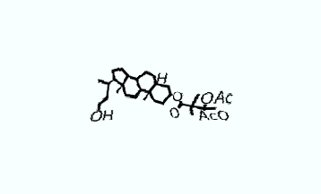 CC(=O)OC(C)(OC(C)=O)C(C)(C)C(=O)O[C@@H]1CC[C@]2(C)C3CC[C@@]4(C)C(CC[C@@H]4C(C)CCO)C3CC[C@@H]2C1